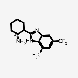 N[C@H]1CCCCC1c1nc2cc(C(F)(F)F)cc(C(F)(F)F)c2[nH]1